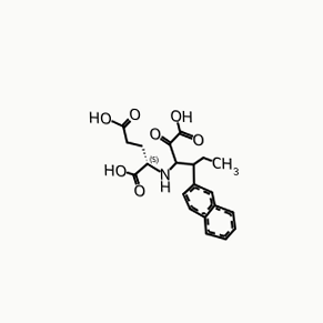 CCC(c1ccc2ccccc2c1)C(N[C@@H](CCC(=O)O)C(=O)O)C(=O)C(=O)O